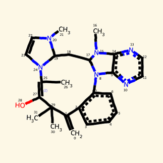 C=C1c2ccccc2N2c3nccnc3N(C)C2CC2N(C)C=CN2/C(C)=C(\O)C1(C)C